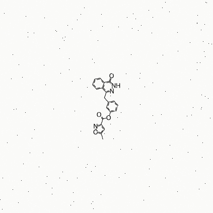 Cc1cc(C(=O)Oc2cccc(Cc3n[nH]c(=O)c4ccccc34)c2)no1